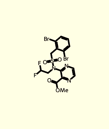 COC(=O)c1nccnc1N(CC(F)F)S(=O)(=O)Cc1c(Br)cccc1Br